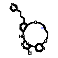 Clc1cnc2nc1-c1ccnc(c1)OCC/C=C/COCc1cc(ccc1CCCn1ccnc1)N2